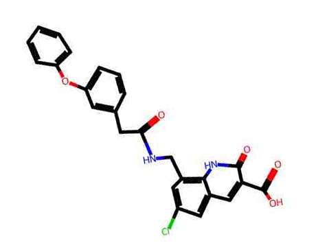 O=C(Cc1cccc(Oc2ccccc2)c1)NCc1cc(Cl)cc2cc(C(=O)O)c(=O)[nH]c12